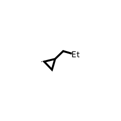 CCCC1[CH]C1